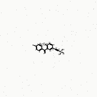 C=C(c1ccc(C)cc1)c1cc(C#C[Si](C)(C)C)ccc1OC(C)=O